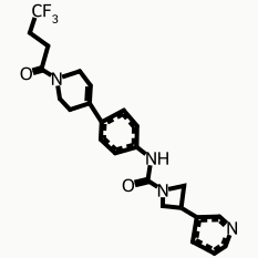 O=C(CCC(F)(F)F)N1CC=C(c2ccc(NC(=O)N3CC(c4cccnc4)C3)cc2)CC1